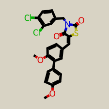 COc1ccc(-c2cc(/C=C3/SC(=O)N(Cc4ccc(Cl)c(Cl)c4)C3=O)ccc2OC)cc1